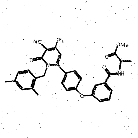 COC(=O)C(C)NC(=O)c1cccc(Oc2ccc(-c3cc(C(F)(F)F)c(C#N)c(=O)n3Cc3ccc(C)cc3C)cc2)c1